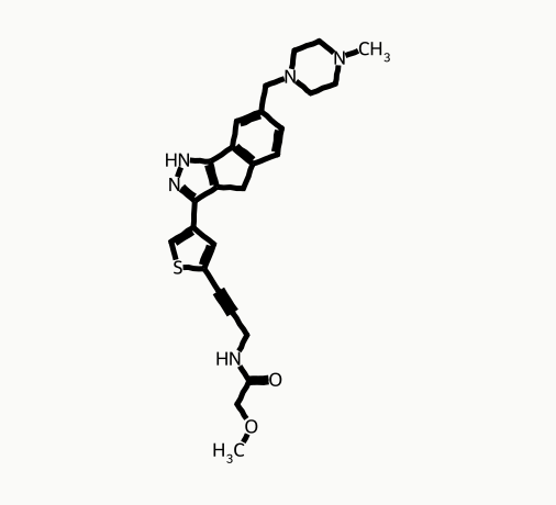 COCC(=O)NCC#Cc1cc(-c2n[nH]c3c2Cc2ccc(CN4CCN(C)CC4)cc2-3)cs1